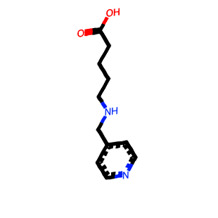 O=C(O)CCCCNCc1ccncc1